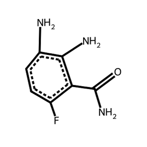 NC(=O)c1c(F)ccc(N)c1N